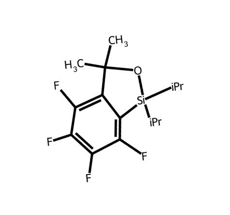 CC(C)[Si]1(C(C)C)OC(C)(C)c2c(F)c(F)c(F)c(F)c21